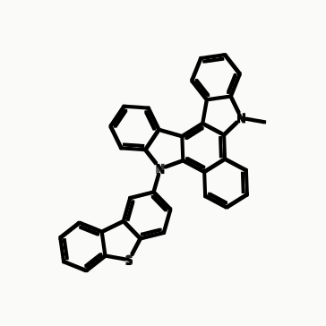 Cn1c2ccccc2c2c3c4ccccc4n(-c4ccc5sc6ccccc6c5c4)c3c3ccccc3c21